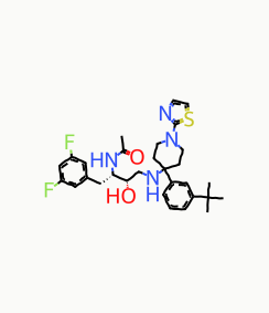 CC(=O)N[C@@H](Cc1cc(F)cc(F)c1)[C@@H](O)CNC1(c2cccc(C(C)(C)C)c2)CCN(c2nccs2)CC1